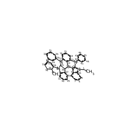 CCn1c2c(c3ccccc31)B1c3c(cccc3N(c3ccccc3)C3C1c1ccccc1N3C1=CC=CCC1C)N2c1ccccc1